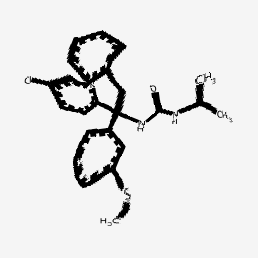 CSc1cccc(C(Cc2ccccc2)(NC(=O)NC(C)C)c2ccc(Cl)cn2)c1